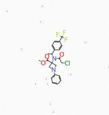 COC(=O)C1(N(C(=O)CCl)C(C)c2ccc(C(F)(F)F)cc2)CN(c2ccccc2)C1